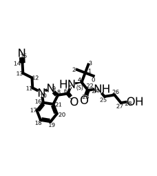 CC(C)(C)[C@H](NC(=O)c1nn(CCCC#N)c2ccccc12)C(=O)NCCCO